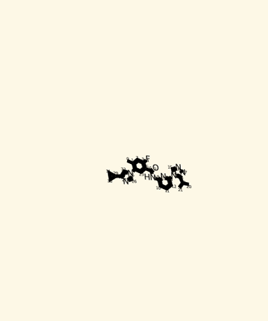 Cc1cc(F)c(C(=O)Nc2cccc(-n3cnnc3C(C)C)n2)cc1-n1cnc(C2CC2)c1